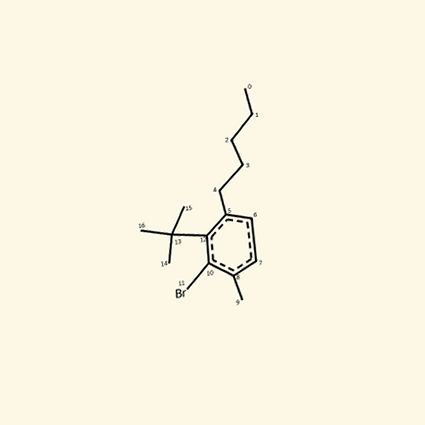 CCCCCc1ccc(C)c(Br)c1C(C)(C)C